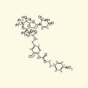 CC(OCc1ccc(OC(=O)OCCc2ccc([N+](=O)[O-])cc2)c(Cl)c1)O[C@H]1[C@H](n2ccc(=O)[nH]c2=O)O[C@@H]2C(O)[Si](C(C)C)(C(C)C)O[Si](C(C)C)(C(C)C)[C@@]21O